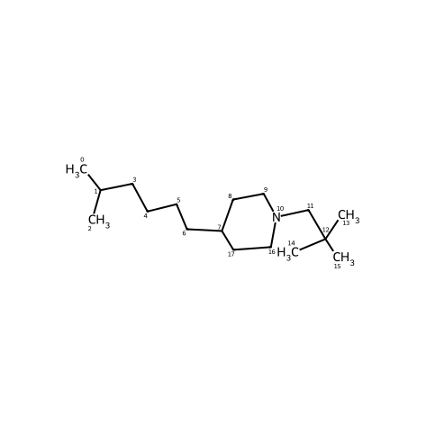 CC(C)CCCCC1CCN(CC(C)(C)C)CC1